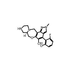 Cn1cc2c(-c3c(O)cccc3F)c(Cl)c3c(c2n1)CN1CCNC[C@@H]1CO3